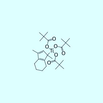 CC1=C[C](C)([Ti]([O]C(=O)C(C)(C)C)([O]C(=O)C(C)(C)C)[O]C(=O)C(C)(C)C)C2=C1CCCC2